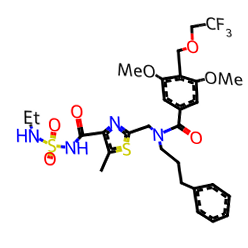 CCNS(=O)(=O)NC(=O)c1nc(CN(CCCc2ccccc2)C(=O)c2cc(OC)c(COCC(F)(F)F)c(OC)c2)sc1C